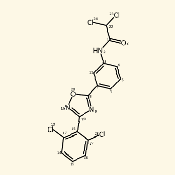 O=C(Nc1cccc(-c2nc(-c3c(Cl)cccc3Cl)no2)c1)C(Cl)Cl